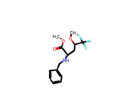 COC(=O)C(CC(OC)C(F)(F)F)NCc1ccccc1